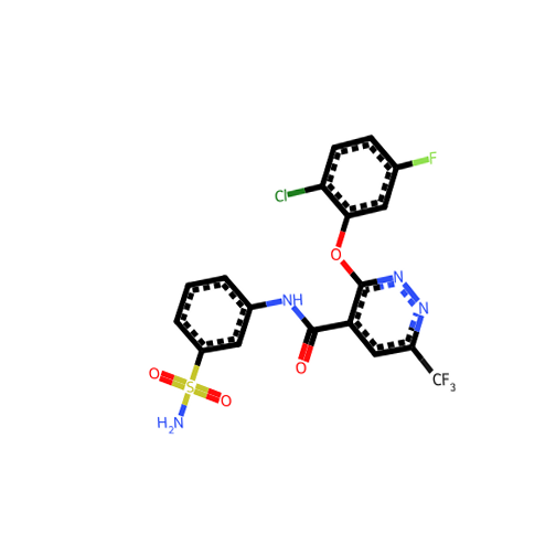 NS(=O)(=O)c1cccc(NC(=O)c2cc(C(F)(F)F)nnc2Oc2cc(F)ccc2Cl)c1